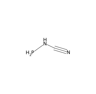 N#CNP